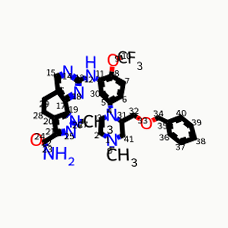 CN1CCN(c2ccc(OC(F)(F)F)c(Nc3ncc4c(n3)-c3c(c(C(N)=O)nn3C)CC4)c2)C(COCc2ccccc2)C1